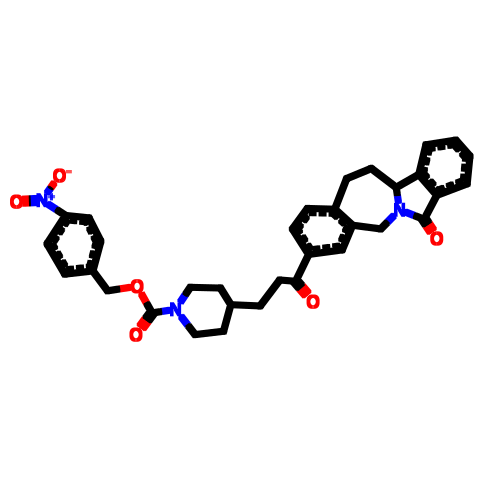 O=C(CCC1CCN(C(=O)OCc2ccc([N+](=O)[O-])cc2)CC1)c1ccc2c(c1)CN1C(=O)c3ccccc3C1CC2